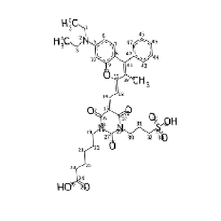 CCN(CC)c1ccc2c(c1)OC(=CC=C1C(=O)N(CCCCCC(=O)O)C(=O)N(CCCS(=O)(=O)O)C1=O)C(C)=C2c1ccccc1